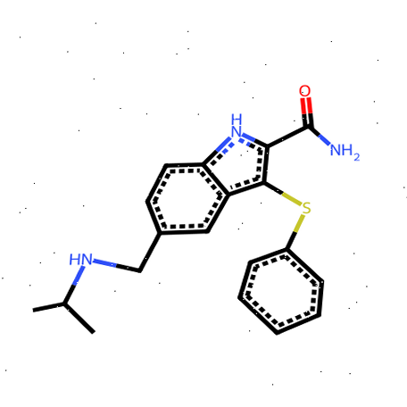 CC(C)NCc1ccc2[nH]c(C(N)=O)c(Sc3ccccc3)c2c1